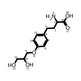 NC(CCc1ccc(OCC(O)CO)cc1)C(=O)O